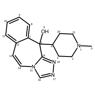 CN1CCC(C2(O)c3ccccc3C=Cn3cnnc32)CC1